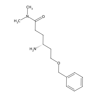 CN(C)C(=O)CC[C@@H](N)CCOCc1ccccc1